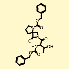 CC(O)C(NC(=O)OCc1ccccc1)C(=O)N1CC2(CCCN2C(=O)OCc2ccccc2)C1=O